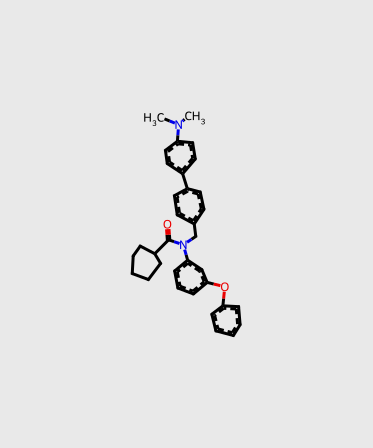 CN(C)c1ccc(-c2ccc(CN(C(=O)C3CCCCC3)c3cccc(Oc4ccccc4)c3)cc2)cc1